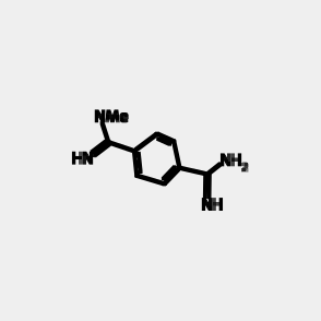 CNC(=N)c1ccc(C(=N)N)cc1